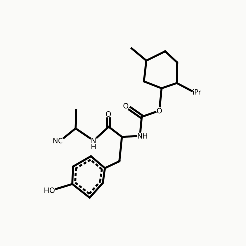 CC1CCC(C(C)C)C(OC(=O)NC(Cc2ccc(O)cc2)C(=O)NC(C)C#N)C1